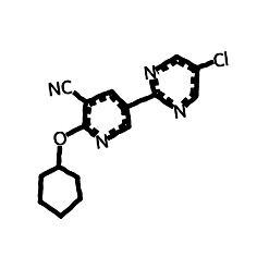 N#Cc1cc(-c2ncc(Cl)cn2)cnc1OC1CCCCC1